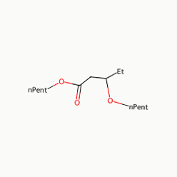 CCCCCOC(=O)CC(CC)OCCCCC